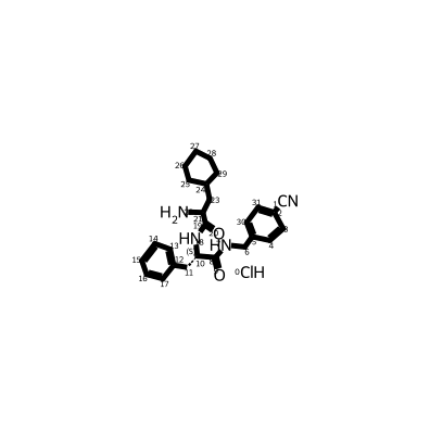 Cl.N#Cc1ccc(CNC(=O)[C@H](Cc2ccccc2)NC(=O)C(N)CC2CCCCC2)cc1